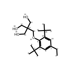 CCc1cc(C(C)(C)C)c(OCC(CO)(CO)CO)c(C(C)(C)C)c1